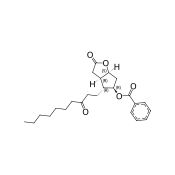 CCCCCCCC(=O)CC[C@@H]1[C@H]2CC(=O)O[C@H]2C[C@H]1OC(=O)c1ccccc1